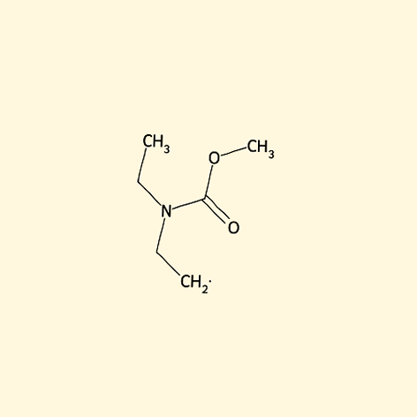 [CH2]CN(CC)C(=O)OC